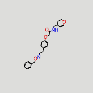 O=C(COc1ccc(CC=NOCc2ccccc2)cc1)NCC1C=COCC1